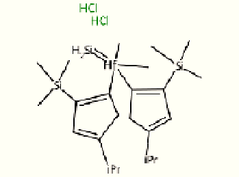 CC(C)C1=CC([Si](C)(C)C)=[C]([Hf]([CH3])([CH3])(=[SiH2])[C]2=C([Si](C)(C)C)C=C(C(C)C)C2)C1.Cl.Cl